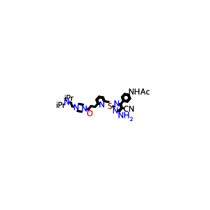 CC(=O)Nc1ccc(-c2nc(SCc3cccc(CCC(=O)N4CCN(CCN(C(C)C)C(C)C)CC4)n3)nc(N)c2C#N)cc1